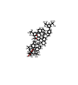 CC(C)(C)c1cc(-c2ccc3ccn(P(Oc4ccc5c(c4-c4c(OP(n6ccc7ccc(-c8cc(C(C)(C)C)cc(C(C)(C)C)c8)cc76)n6ccc7ccc(-c8cc(C(C)(C)C)cc(C(C)(C)C)c8)cc76)ccc6c4CCCC6)CCCC5)n4ccc5ccc(-c6cc(C(C)(C)C)cc(C(C)(C)C)c6)cc54)c3c2)cc(C(C)(C)C)c1